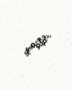 O=C(O)c1ccc2nc(Cc3cc(F)c(-c4cccc(OCc5cc(C(F)(F)F)cs5)n4)cc3F)n(C[C@@H]3CCO3)c2c1